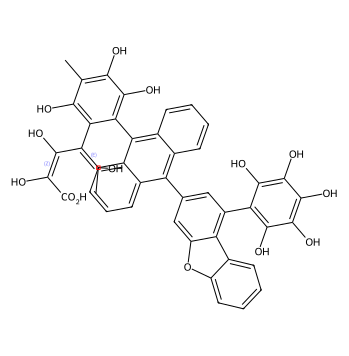 C/C(O)=C(\C(O)=C(\O)C(=O)O)c1c(O)c(C)c(O)c(O)c1-c1c2ccccc2c(-c2cc(-c3c(O)c(O)c(O)c(O)c3O)c3c(c2)oc2ccccc23)c2ccccc12